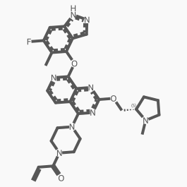 C=CC(=O)N1CCN(c2nc(OC[C@@H]3CCCN3C)nc3c(Oc4c(C)c(F)cc5[nH]ncc45)nccc23)CC1